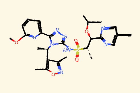 COc1cccc(-c2nnc(NS(=O)(=O)[C@@H](C)[C@@H](OC(C)C)c3ncc(C)cn3)n2[C@H](C)c2c(C)noc2C)n1